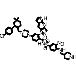 CC1(C)CCC(CN2CCN(c3ccc(C(=O)NS(=O)(=O)c4ccc(NCC5CCNCC5)c(N=O)c4)c(-n4ncc5nc6[nH]ccc6cc54)c3)CC2)=C(c2ccc(Cl)cc2)C1